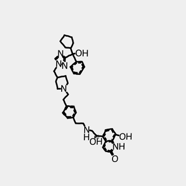 O=c1ccc2c([C@@H](O)CNCCc3ccc(CCN4CCC(Cn5cnc(C(O)(c6ccccc6)C6CCCCC6)n5)CC4)cc3)ccc(O)c2[nH]1